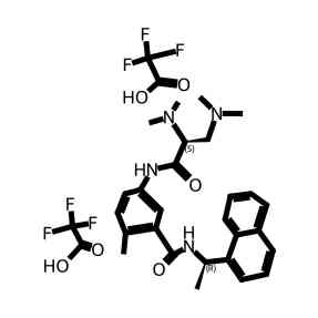 Cc1ccc(NC(=O)[C@H](CN(C)C)N(C)C)cc1C(=O)N[C@H](C)c1cccc2ccccc12.O=C(O)C(F)(F)F.O=C(O)C(F)(F)F